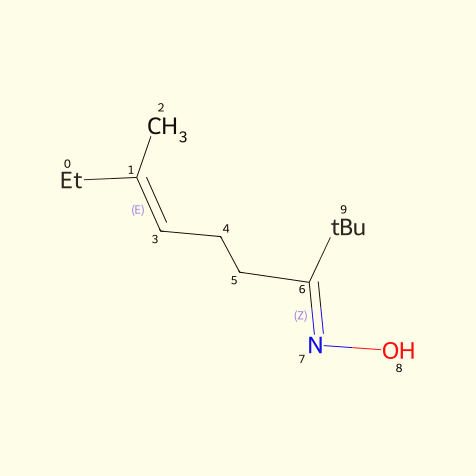 CC/C(C)=C/CC/C(=N/O)C(C)(C)C